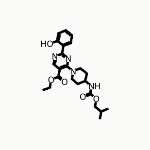 CCOC(=O)c1cnc(-c2ccccc2O)nc1N1CCC(NC(=O)OCC(C)C)CC1